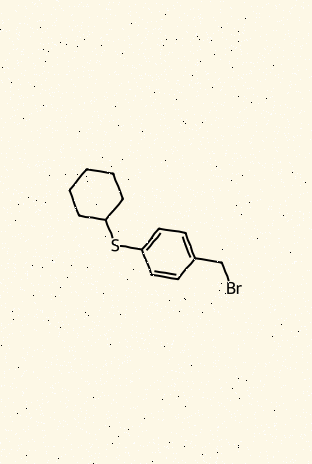 BrCc1ccc(SC2CCCCC2)cc1